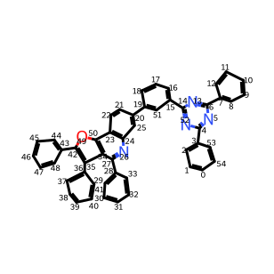 c1ccc(-c2nc(-c3ccccc3)nc(-c3cccc(-c4ccc5c(c4)nc(-c4ccccc4)c4c(-c6ccccc6)c(-c6ccccc6)oc45)c3)n2)cc1